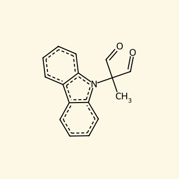 CC(C=O)(C=O)n1c2ccccc2c2ccccc21